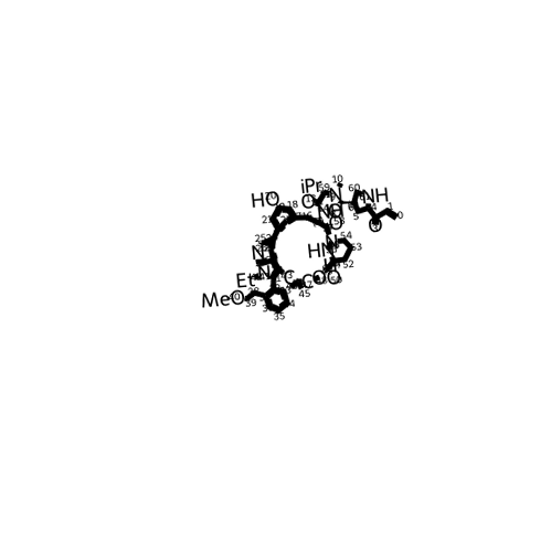 C=CC(=O)C1C[C@@H](C(=O)N(C)C(C(=O)N[C@@H]2Cc3cc(O)cc(c3)-c3cnc4c(c3)c(c(-c3ccccc3CCOC)n4CC)CC(C)(C)COC(=O)[C@@H]3CCCN(N3)C2=O)C(C)C)CN1